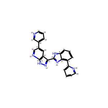 c1ccc(-c2cccc3[nH]c(-c4n[nH]c5ncc(-c6cccnc6)cc45)nc23)nc1